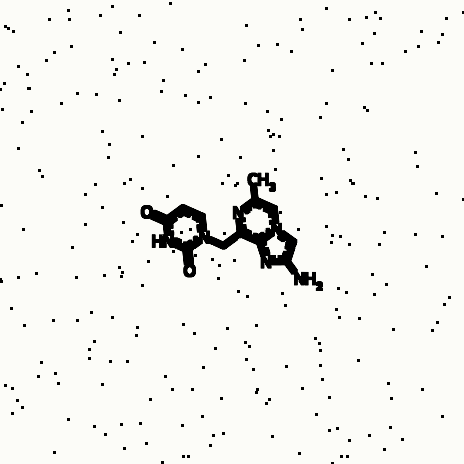 Cc1cn2cc(N)nc2c(Cn2ccc(=O)[nH]c2=O)n1